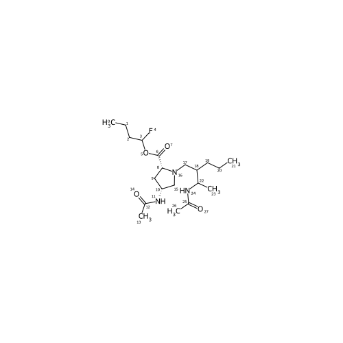 CCCC(F)OC(=O)[C@H]1C[C@@H](NC(C)=O)CN1CC(CCC)C(C)NC(C)=O